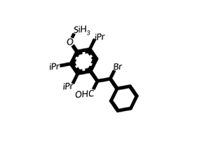 CC(C)c1cc(C(C=O)C(Br)C2CCCCC2)c(C(C)C)c(C(C)C)c1O[SiH3]